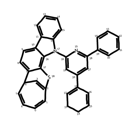 C1=CC2=CC(C=C1)c1ccc3c4ccccc4n(-c4cc(C5=CCCC=C5)cc(-c5ccccc5)n4)c3c1S2